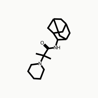 CC(C)(C(=O)NC1C2CC3CC(C2)CC1C3)N1CCCCC1